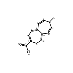 CC1C=CC2=CC=C(C(=O)Cl)CC=C2C=C1